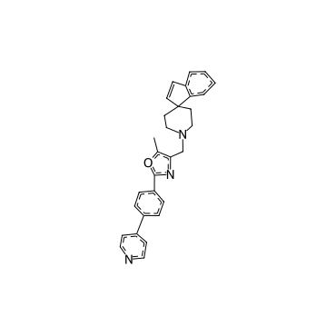 Cc1oc(-c2ccc(-c3ccncc3)cc2)nc1CN1CCC2(C=Cc3ccccc32)CC1